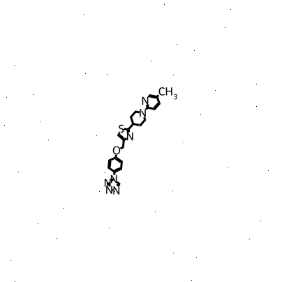 Cc1ccc(N2CCC(c3nc(COc4ccc(-n5cnnn5)cc4)cs3)CC2)nc1